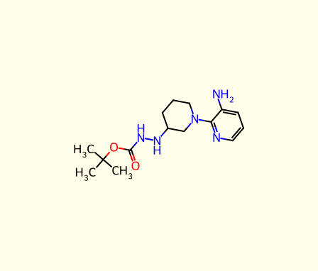 CC(C)(C)OC(=O)NNC1CCCN(c2ncccc2N)C1